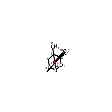 CC12COB(OC1=O)OC2=O